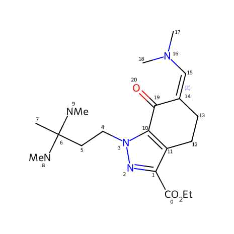 CCOC(=O)c1nn(CCC(C)(NC)NC)c2c1CC/C(=C/N(C)C)C2=O